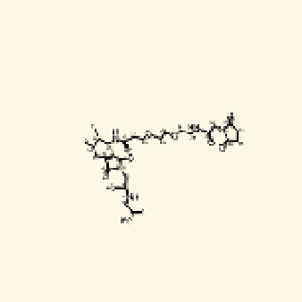 CC(C)[C@@H](C)CNC(=O)CN1C(=O)C=C(CC(C)[C@@H](C)CNC(=O)CCOCCOCCNC(=O)CN2C(=O)C=CC2=O)C1=O